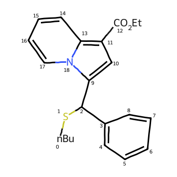 CCCCSC(c1ccccc1)c1cc(C(=O)OCC)c2ccccn12